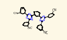 [C-]#[N+]c1cccc(-c2nc(-c3cccc(C#N)c3)nc(-c3cccc(-c4nc(-c5cccc([N+]#[C-])c5)nc(-c5cccc([N+]#[C-])c5)n4)c3)n2)c1